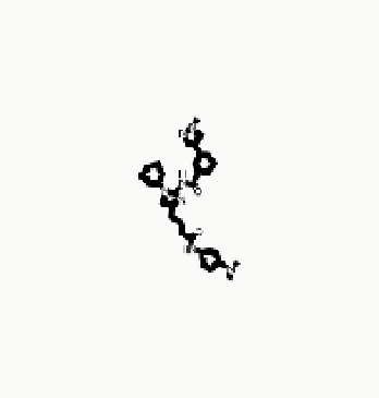 CN(C)c1ccc(NC(=O)CCCc2cn(-c3ccccc3)c(NC(=O)c3cccc(-c4cnn(C)c4)c3)n2)cc1